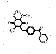 COC1=C(OC)C(=O)C(Cc2ccc(C(=O)N3CCOCC3)cc2)=C(C)C1=O